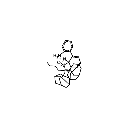 CCCC[PH]([Pd]([Cl])[C]1(N)CC=CC=C1c1ccccc1N)(C12CC3CC(CC(C3)C1)C2)C12CC3CC(CC(C3)C1)C2